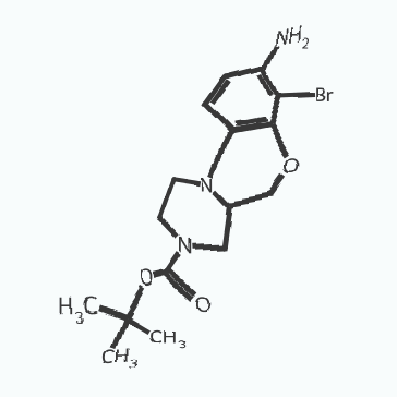 CC(C)(C)OC(=O)N1CCN2c3ccc(N)c(Br)c3OCC2C1